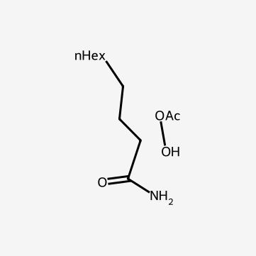 CC(=O)OO.CCCCCCCCCC(N)=O